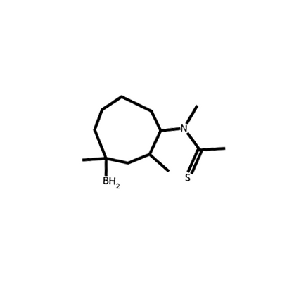 BC1(C)CCCCC(N(C)C(C)=S)C(C)C1